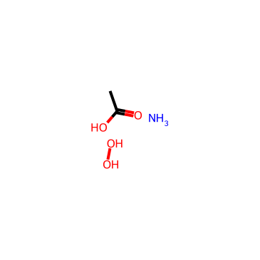 CC(=O)O.N.OO